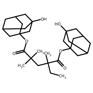 CCC(C)(CC(C)(C)C(=O)OC12CC3CC(CC(O)(C3)C1)C2)C(=O)OC12CC3CC(CC(O)(C3)C1)C2